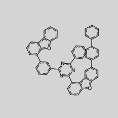 c1ccc(-c2ccc(-c3ccc4oc5cccc(-c6nc(-c7ccccc7)nc(-c7cccc(-c8cccc9c8oc8ccccc89)c7)n6)c5c4c3)cc2)cc1